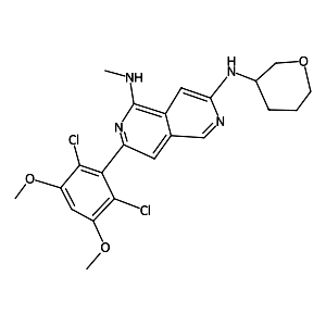 CNc1nc(-c2c(Cl)c(OC)cc(OC)c2Cl)cc2cnc(NC3CCCOC3)cc12